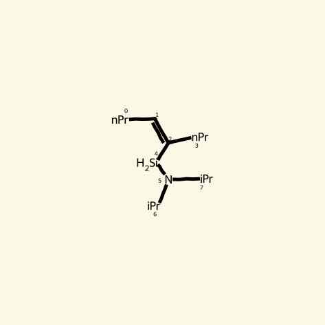 CCCC=C(CCC)[SiH2]N(C(C)C)C(C)C